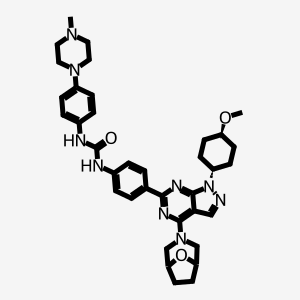 CO[C@H]1CC[C@H](n2ncc3c(N4CC5CCC(C4)O5)nc(-c4ccc(NC(=O)Nc5ccc(N6CCN(C)CC6)cc5)cc4)nc32)CC1